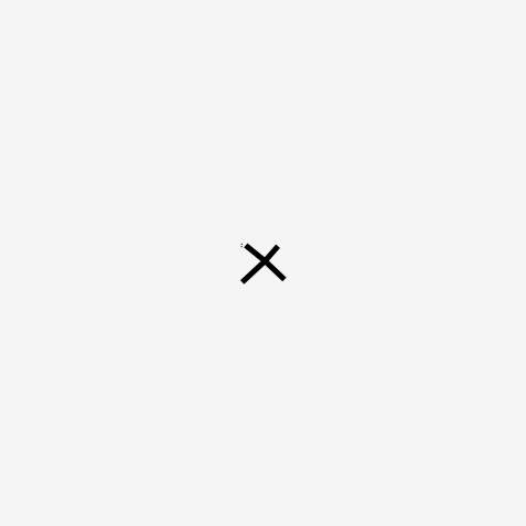 [CH]C(C)(C)C